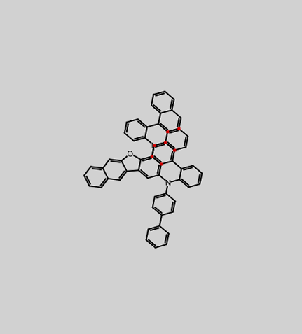 c1ccc(-c2ccc(N(c3cc(N(c4ccccc4)c4ccccc4-c4cccc5ccccc45)c4oc5cc6ccccc6cc5c4c3)c3ccccc3-c3ccccc3)cc2)cc1